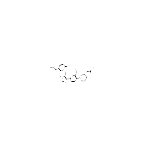 CCCc1ccc(=O)n(Cc2c(-c3ccc(N4C[C@@H](F)C[C@H](CC(=O)O)C4)c(CC)n3)nnn2C)c1